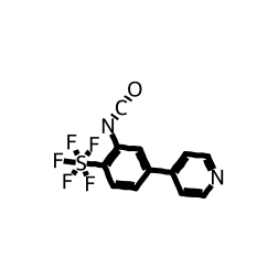 O=C=Nc1cc(-c2ccncc2)ccc1S(F)(F)(F)(F)F